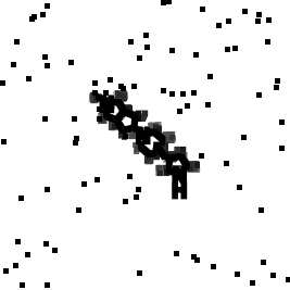 CN1CC2CC(N3CCN(C4CCNC4)CC3)CC2C1